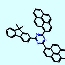 CC1(C)c2ccccc2-c2ccc(-c3nc(-c4ccc5ccc6cccc7ccc4c5c67)nc(-c4ccc5ccc6cccc7ccc4c5c67)n3)cc21